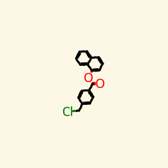 O=C(Oc1cccc2ccccc12)c1ccc(CCl)cc1